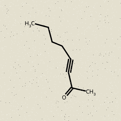 CCCCC#CC(C)=O